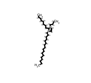 CCCCCCCCCCCCCCCCC[n+]1ccn(CCCC)c1CCCCCCCC